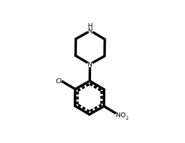 O=[N+]([O-])c1ccc(Cl)c(N2CCNCC2)c1